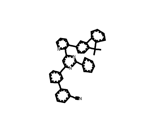 CC1(C)c2ccccc2-c2cc(-c3cccnc3-c3cc(-c4cccc(-c5cccc(C#N)c5)c4)nc(-c4ccccc4)n3)ccc21